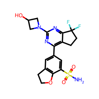 NS(=O)(=O)c1cc(-c2nc(N3CC(O)C3)nc3c2CCC3(F)F)cc2c1OCC2